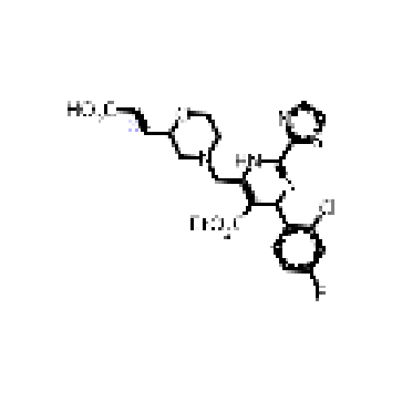 CCOC(=O)C1=C(CN2CCOC(/C=C/C(=O)O)C2)NC(c2nccs2)=NC1c1ccc(F)cc1Cl